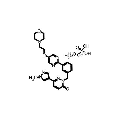 Cn1cc(-c2ccc(=O)n(Cc3cccc(-c4ncc(OCCN5CCOCC5)cn4)c3)n2)cn1.O.O.O=P(O)(O)O